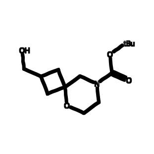 CC(C)(C)OC(=O)N1CCOC2(CC(CO)C2)C1